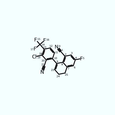 N#Cc1cc(F)cc2c1C(c1ccc(C(F)(F)F)c(Cl)c1C#N)=CCC2